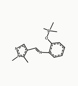 Cc1c(C=Nc2ccccc2O[Si](C)(C)C)cnn1C